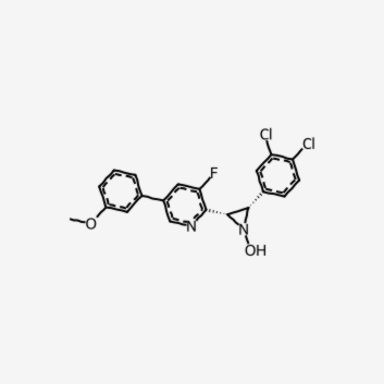 COc1cccc(-c2cnc([C@@H]3[C@H](c4ccc(Cl)c(Cl)c4)N3O)c(F)c2)c1